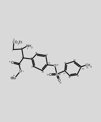 CCOC(=O)CC(N)C(C(=O)OC(C)(C)C)c1ccc(OS(=O)(=O)c2ccc(C)cc2)cc1